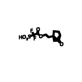 O=C1CC2(CCOC(=O)C(F)(F)S(=O)(=O)O)CCC1C2